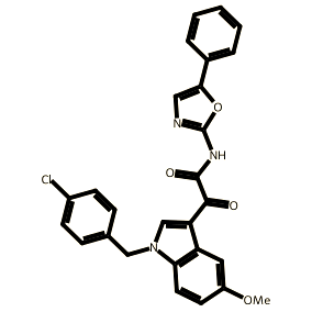 COc1ccc2c(c1)c(C(=O)C(=O)Nc1ncc(-c3ccccc3)o1)cn2Cc1ccc(Cl)cc1